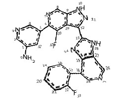 Nc1cncc(-c2ncc3[nH]nc(-c4nc5c(-c6ccccc6F)cncc5[nH]4)c3c2F)c1